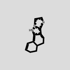 C1=CC2=c3[nH]n4ccnc4c3=CCC2CC1